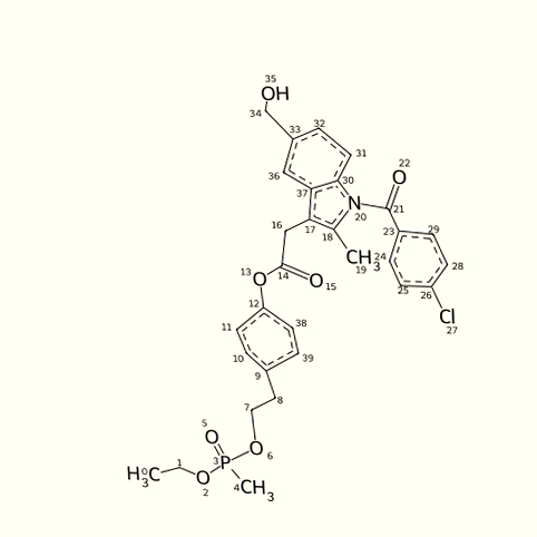 CCOP(C)(=O)OCCc1ccc(OC(=O)Cc2c(C)n(C(=O)c3ccc(Cl)cc3)c3ccc(CO)cc23)cc1